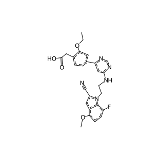 CCOc1cc(-c2cc(NCCn3c(C#N)cc4c(OC)ccc(F)c43)ncn2)ccc1CC(=O)O